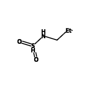 C[CH]CN[SH](=O)=O